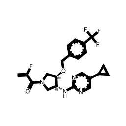 C=C(F)C(=O)N1C[C@@H](Nc2ncc(C3CC3)cn2)[C@H](OCc2ccc(C(F)(F)F)cc2)C1